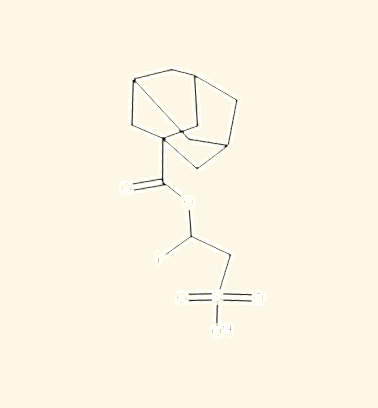 O=C(OC(F)CS(=O)(=O)O)C12CC3CC(CC(C3)C1)C2